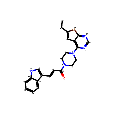 CCc1cc2c(N3CCN(C(=O)C=Cc4c[nH]c5ccccc45)CC3)ncnc2s1